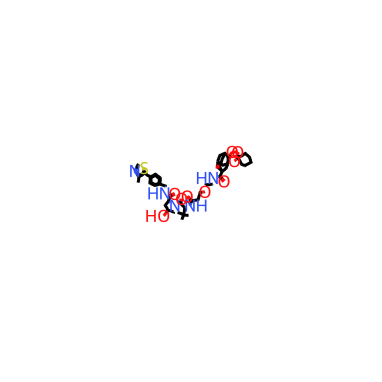 Cc1ncsc1-c1ccc(CNC(=O)C2CC(O)CN2C(=O)C(NC(=O)CCOCCNC(=O)C23CC4CC(C2)C2(OOC5(CCCCC5)O2)C(C4)C3)C(C)(C)C)cc1